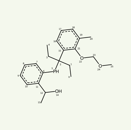 CCC(CC)(Pc1ccccc1C(C)O)c1cccc(C)c1OCOC